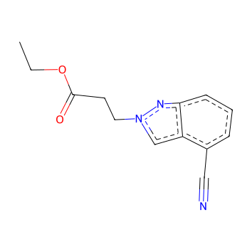 CCOC(=O)CCn1cc2c(C#N)cccc2n1